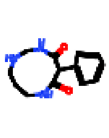 O=C1NCCCNCNC(=O)C1c1ccccc1